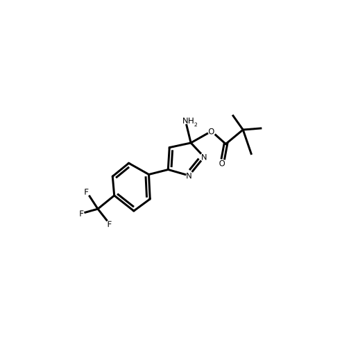 CC(C)(C)C(=O)OC1(N)C=C(c2ccc(C(F)(F)F)cc2)N=N1